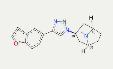 CN1[C@@H]2CC[C@H]1C[C@@H](n1cc(-c3ccc4occc4c3)nn1)C2